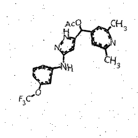 CC(=O)OC(c1cc(C)nc(C)c1)c1cc(Nc2cccc(OC(F)(F)F)c2)n[nH]1